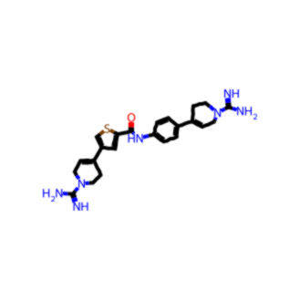 N=C(N)N1CC=C(c2ccc(NC(=O)c3cc(C4=CCN(C(=N)N)CC4)cs3)cc2)CC1